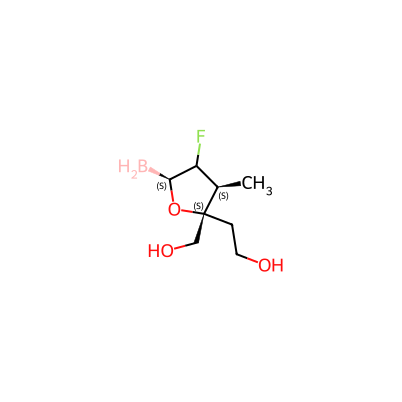 B[C@@H]1O[C@@](CO)(CCO)[C@H](C)C1F